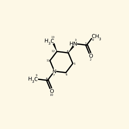 CC(=O)N[C@H]1CCN(C(C)=O)C[C@H]1C